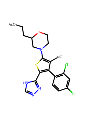 [C-]#[N+]c1c(N2CCOC(CCOC(C)=O)C2)sc(-c2nnc[nH]2)c1-c1ccc(Cl)cc1Cl